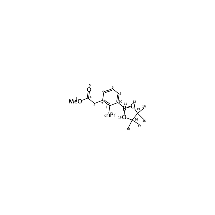 CCCc1c(CC(=O)OC)cccc1B1OC(C)(C)C(C)(C)O1